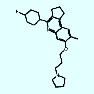 Cc1cc2c3c(c(C4CCC(F)CC4)nc2cc1OCCCN1CCCC1)CCC3